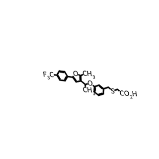 Cc1oc(-c2ccc(C(F)(F)F)cc2)cc1C(C)Oc1cccc(CSCC(=O)O)c1